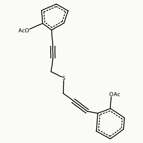 CC(=O)Oc1ccccc1C#CCSCC#Cc1ccccc1OC(C)=O